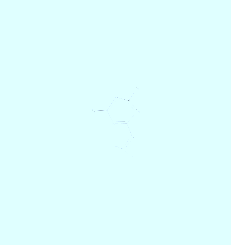 Nc1cc(N)nc(N=[P+]([O-])O)n1